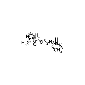 CSC(=NCCSCC(=O)c1[nH]cnc1C)NC#N